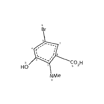 CNc1c(O)cc(Br)cc1C(=O)O